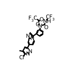 Cc1cc(-c2ccn3c(-c4cccc(N(OC(=O)C(F)(F)F)C(=O)NCC(F)(F)F)c4)cnc3c2)nnc1Cl